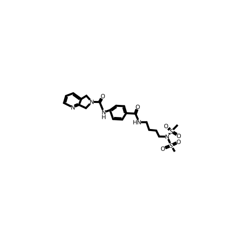 CS(=O)(=O)N(CCCCNC(=O)c1ccc(NC(=O)N2Cc3cccnc3C2)cc1)S(C)(=O)=O